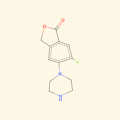 O=C1OCc2cc(N3CCNCC3)c(F)cc21